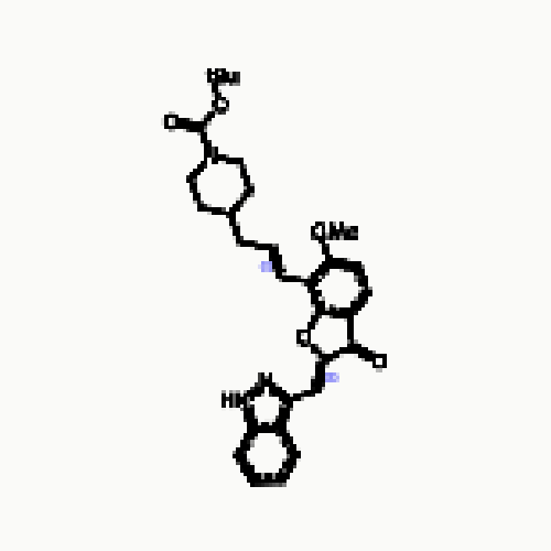 COc1ccc2c(c1/C=C/CC1CCN(C(=O)OC(C)(C)C)CC1)O/C(=C\c1n[nH]c3ccccc13)C2=O